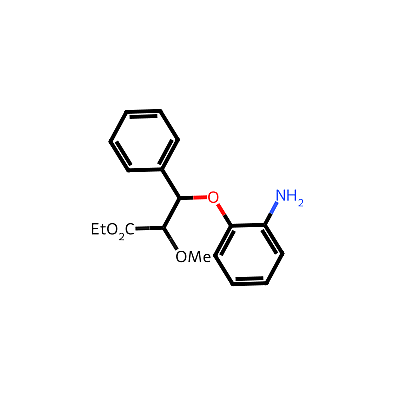 CCOC(=O)C(OC)C(Oc1ccccc1N)c1ccccc1